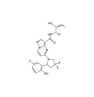 C[C@H](O)C(Cl)NC(=O)c1cnn2ccc(N3CC(F)(F)CC3c3cc(F)ccc3O)nc12